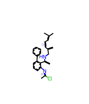 C=C(/C=C\C=C(C)C)CNC(=C)c1c(/N=C(\C)Cl)cccc1-c1ccccc1